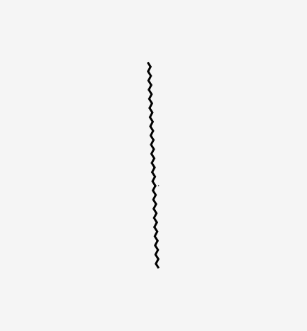 CCCCCCCCCCCCCCCCCC[CH]CCCCCCCCCCCCCCCCCCCCCCCCCCC